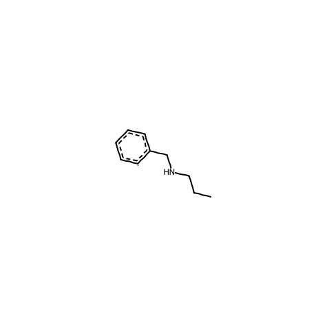 CCCNCc1[c]cccc1